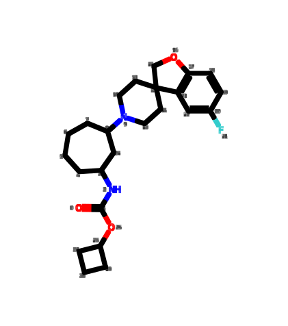 O=C(NC1CCCCC(N2CCC3(CC2)COc2ccc(F)cc23)C1)OC1CCC1